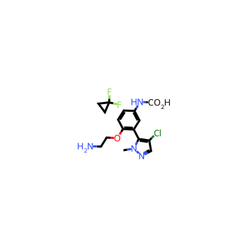 Cn1ncc(Cl)c1-c1cc(NC(=O)O)ccc1OCCN.FC1(F)CC1